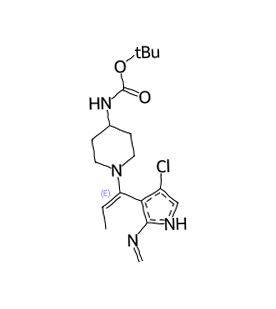 C=Nc1[nH]cc(Cl)c1/C(=C\C)N1CCC(NC(=O)OC(C)(C)C)CC1